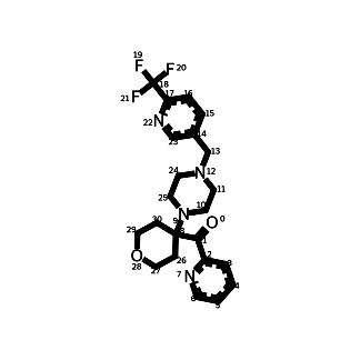 O=C(c1ccccn1)C1(N2CCN(Cc3ccc(C(F)(F)F)nc3)CC2)CCOCC1